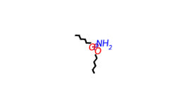 CCCCCCOP(N)OCCCCCC